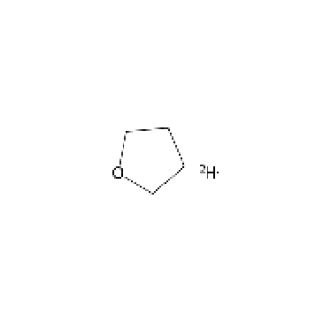 C1CCOC1.[2H]